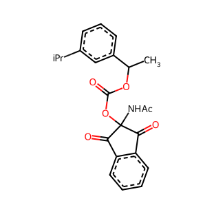 CC(=O)NC1(OC(=O)OC(C)c2cccc(C(C)C)c2)C(=O)c2ccccc2C1=O